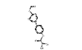 CCCCCCCCSc1ncc(-c2ccc(OC(=O)[C@@H](Cl)C(C)CC)cc2)cn1